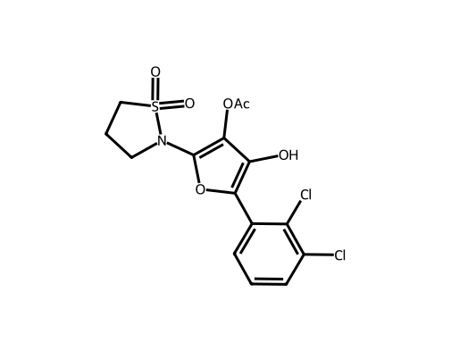 CC(=O)Oc1c(N2CCCS2(=O)=O)oc(-c2cccc(Cl)c2Cl)c1O